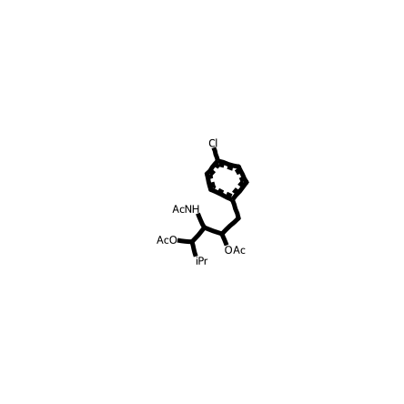 CC(=O)NC(C(Cc1ccc(Cl)cc1)OC(C)=O)C(OC(C)=O)C(C)C